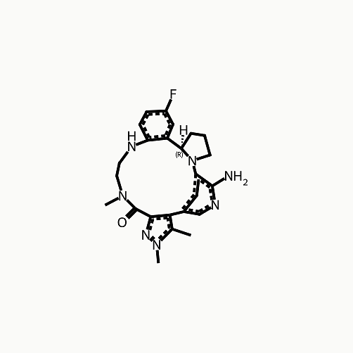 Cc1c2c(nn1C)C(=O)N(C)CCNc1ccc(F)cc1[C@H]1CCCN1c1cc-2cnc1N